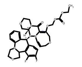 CCOC(=O)OCO/C1=C2\C(=O)N3CCOC[C@H]3N([C@@H]3c4ccccc4N4CCOCC4c4c3ccc(F)c4F)N2/C=C\COC1